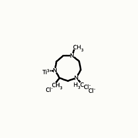 CC1CN(C)CCN(C)CC[N]1[Ti+3].[Cl-].[Cl-].[Cl-]